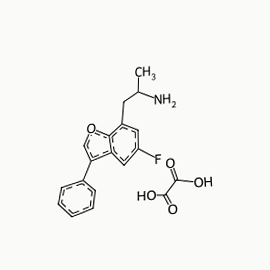 CC(N)Cc1cc(F)cc2c(-c3ccccc3)coc12.O=C(O)C(=O)O